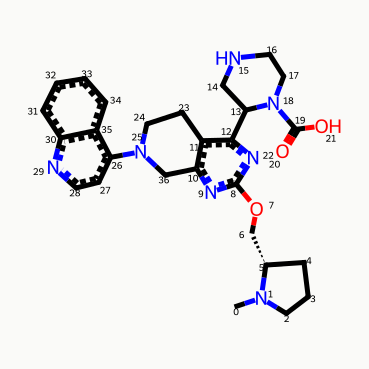 CN1CCC[C@H]1COc1nc2c(c(C3CNCCN3C(=O)O)n1)CCN(c1ccnc3ccccc13)C2